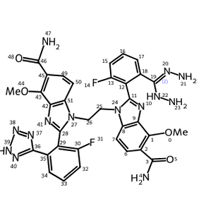 COc1c(C(N)=O)ccc2c1nc(-c1c(F)cccc1/C(=N/N)NN)n2CCn1c(-c2c(F)cccc2-c2nn[nH]n2)nc2c(OC)c(C(N)=O)ccc21